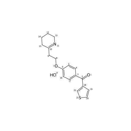 Cl.O=C(c1ccc(OCCC2=NCCCC2)cc1)c1ccsc1